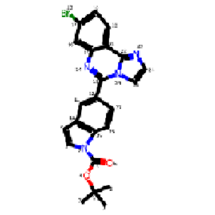 CC(C)(C)OC(=O)n1ccc2cc(-c3nc4cc(Br)ccc4c4nccn34)ccc21